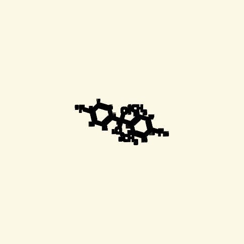 COC(OC)(c1ccc(F)cc1)c1ccc(F)cc1